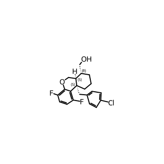 OC[C@@H]1CCC[C@@]2(Cc3ccc(Cl)cc3)c3c(F)ccc(F)c3OC[C@@H]12